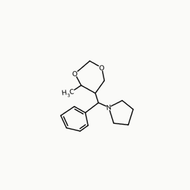 CC1OCOCC1C(c1ccccc1)N1CCCC1